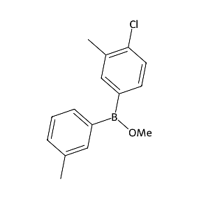 COB(c1cccc(C)c1)c1ccc(Cl)c(C)c1